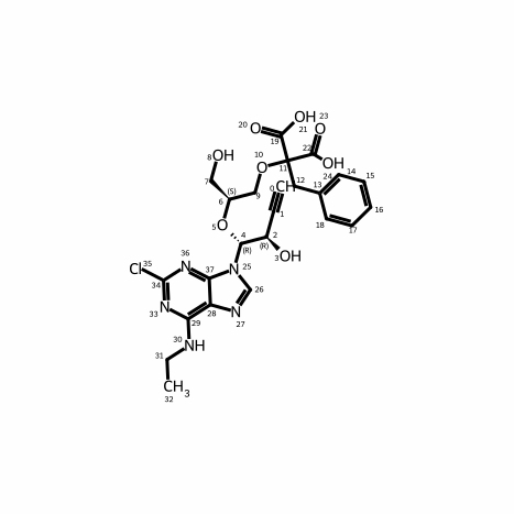 C#C[C@@H](O)[C@@H](O[C@@H](CO)COC(Cc1ccccc1)(C(=O)O)C(=O)O)n1cnc2c(NCC)nc(Cl)nc21